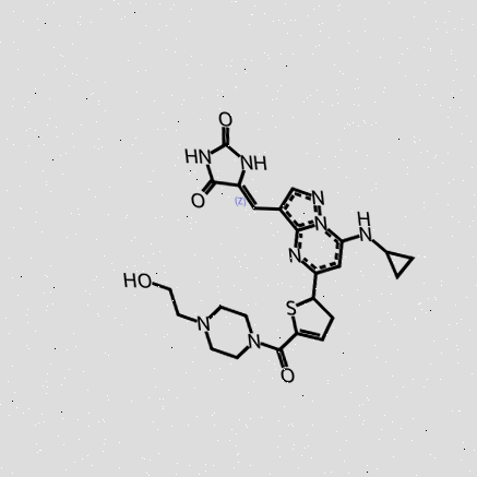 O=C1NC(=O)/C(=C/c2cnn3c(NC4CC4)cc(C4CC=C(C(=O)N5CCN(CCO)CC5)S4)nc23)N1